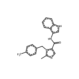 Cc1ncc(C(=O)Nc2c[nH]c3ccccc23)n1Cc1ccc(C(F)(F)F)cc1